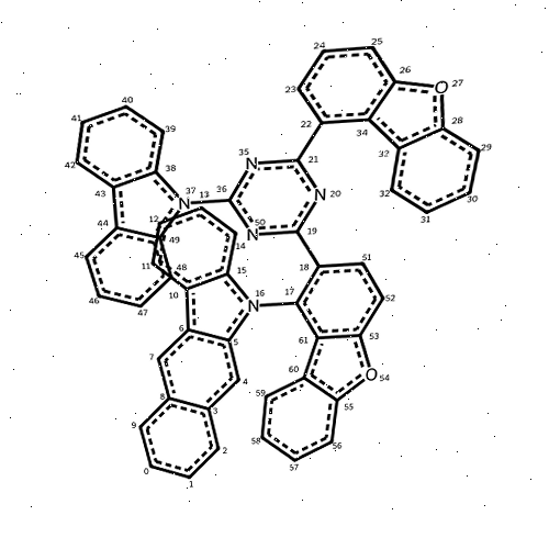 c1ccc2cc3c(cc2c1)c1ccccc1n3-c1c(-c2nc(-c3cccc4oc5ccccc5c34)nc(-n3c4ccccc4c4ccccc43)n2)ccc2oc3ccccc3c12